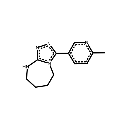 Cc1ccc(-c2nnc3n2CCCCN3)cn1